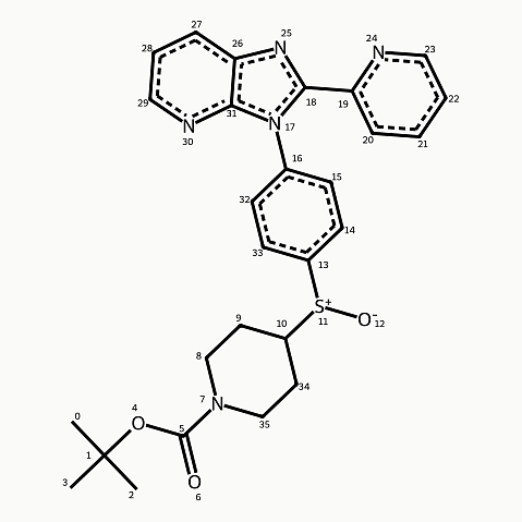 CC(C)(C)OC(=O)N1CCC([S+]([O-])c2ccc(-n3c(-c4ccccn4)nc4cccnc43)cc2)CC1